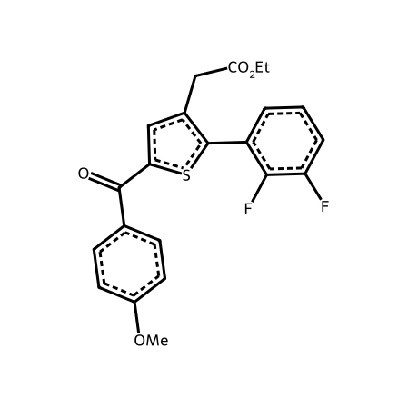 CCOC(=O)Cc1cc(C(=O)c2ccc(OC)cc2)sc1-c1cccc(F)c1F